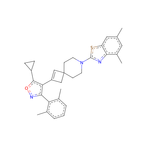 Cc1cc(C)c2nc(N3CCC4(C=C(c5c(-c6c(C)cccc6C)noc5C5CC5)C4)CC3)sc2c1